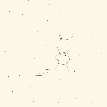 COCCNc1nc(NC(=O)OC(C)(C)C)c(F)cc1F